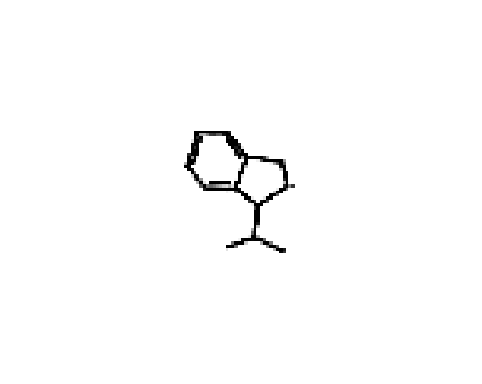 CC(C)C1[CH]Cc2ccccc21